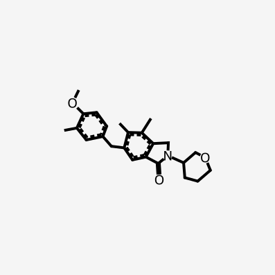 COc1ccc(Cc2cc3c(c(C)c2C)CN(C2CCCOC2)C3=O)cc1C